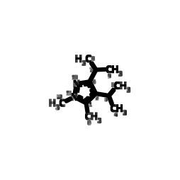 Cc1c(C(C)C)c(C(C)C)nn1C